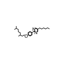 CCCCCCc1cnc(-c2ccc(OCCC(C)CCCC(C)C)cc2)nc1